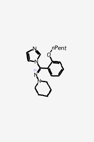 CCCCCOc1ccccc1/C(=N\N1CCCCC1)n1ccnc1